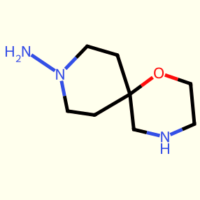 NN1CCC2(CC1)CNCCO2